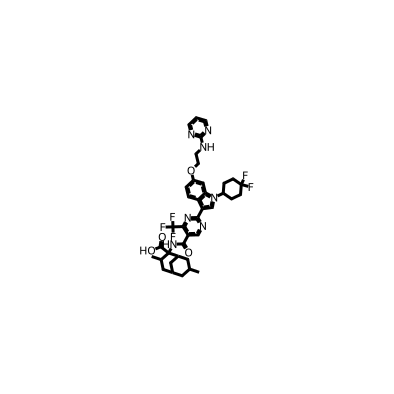 CC1CC2CC(C)C(NC(=O)c3cnc(-c4cn(C5CCC(F)(F)CC5)c5cc(OCCNc6ncccn6)ccc45)nc3C(F)(F)F)(C(=O)O)C(C1)C2